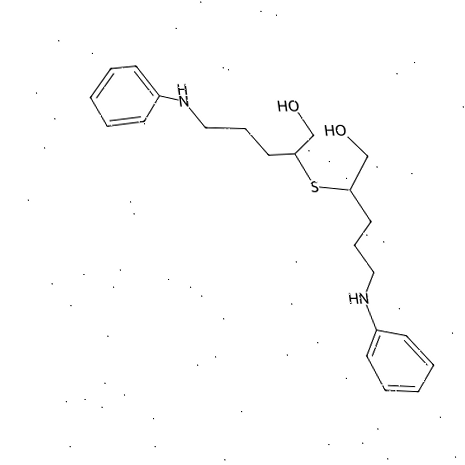 OCC(CCCNc1ccccc1)SC(CO)CCCNc1ccccc1